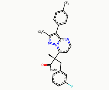 COC(=O)[C@@](C)(Cc1cccc(F)c1)c1ccnc2c(-c3ccc(C(F)(F)F)cc3)c(C(=O)O)nn12